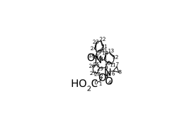 O=C(O)COC(=O)N(C1CC1)C1c2ccccc2N(C(=O)c2ccccc2)C2CCCC21